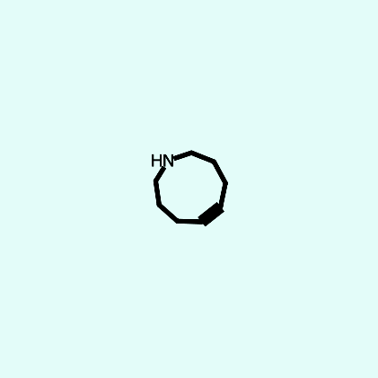 C1#CCCCNCCC1